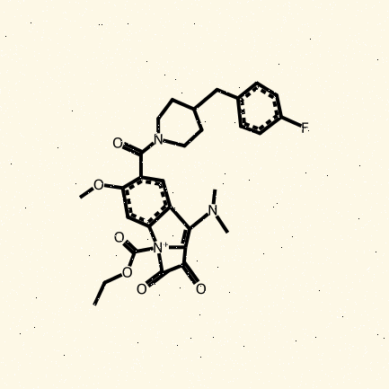 CCOC(=O)[N+]12C(=O)C(=O)C1=C(N(C)C)c1cc(C(=O)N3CCC(Cc4ccc(F)cc4)CC3)c(OC)cc12